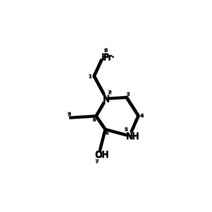 C[C](C)CN1CCNC(O)C1C